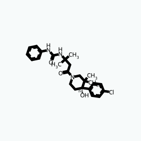 CC(C)(CC(=O)N1CC[C@](O)(c2ccc(Cl)cc2)C(C)(C)C1)NC(=O)Nc1ccccc1